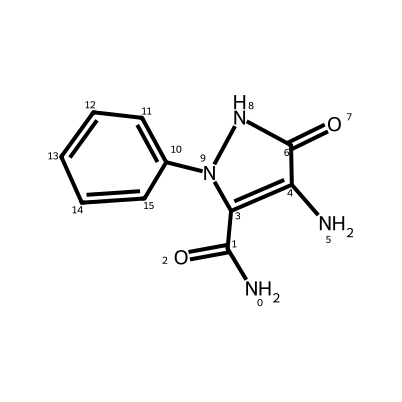 NC(=O)c1c(N)c(=O)[nH]n1-c1ccccc1